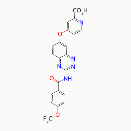 O=C(Nc1nnc2cc(Oc3ccnc(C(=O)O)c3)ccc2n1)c1ccc(OC(F)(F)F)cc1